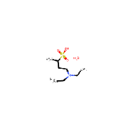 CCN(CC)CCC(C)S(=O)(=O)O.O